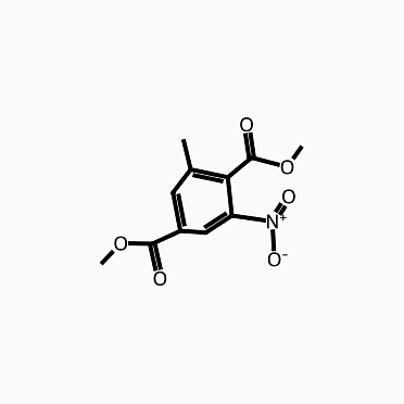 COC(=O)c1cc(C)c(C(=O)OC)c([N+](=O)[O-])c1